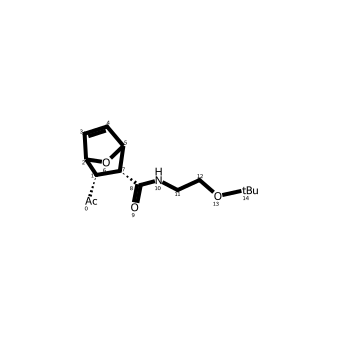 CC(=O)[C@@H]1C2C=CC(O2)[C@@H]1C(=O)NCCOC(C)(C)C